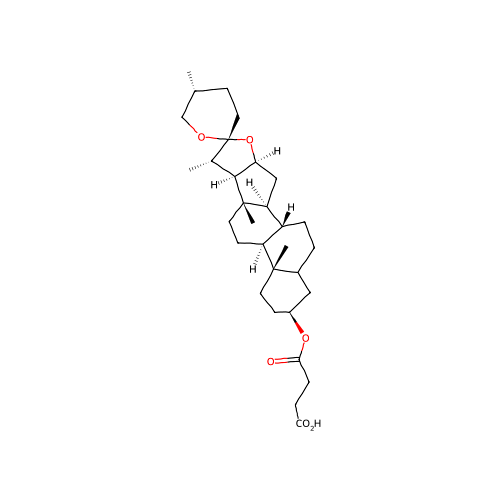 C[C@@H]1CC[C@@]2(OC1)O[C@H]1C[C@H]3[C@@H]4CCC5C[C@@H](OC(=O)CCC(=O)O)CC[C@]5(C)[C@H]4CC[C@]3(C)[C@H]1[C@@H]2C